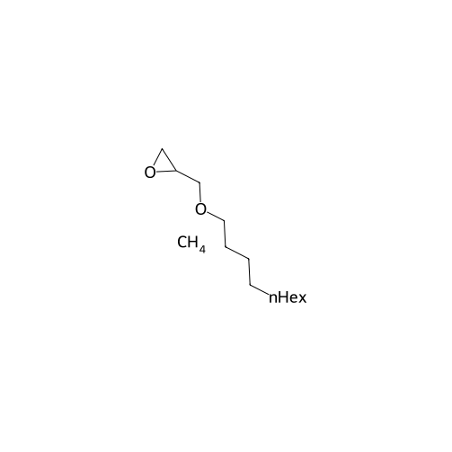 C.CCCCCCCCCCOCC1CO1